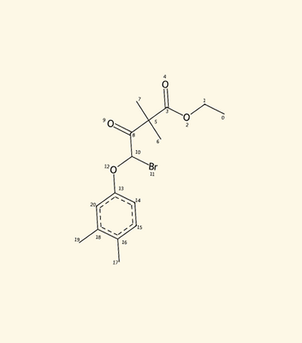 CCOC(=O)C(C)(C)C(=O)C(Br)Oc1ccc(C)c(C)c1